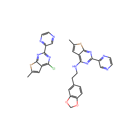 Cc1cc2c(Cl)nc(-c3cnccn3)nc2s1.Cc1cc2c(NCCc3ccc4c(c3)OCO4)nc(-c3cnccn3)nc2s1